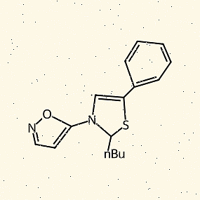 CCCCC1SC(c2ccccc2)=[C]N1c1ccno1